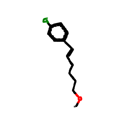 [CH2]OCCCCC=Cc1ccc(Cl)cc1